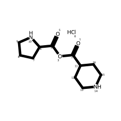 Cl.O=C(OC(=O)C1CCCN1)C1CCNCC1